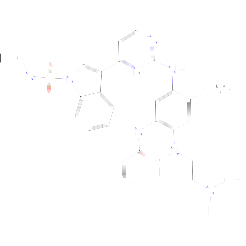 C=CC(=O)Nc1cc(Nc2nccc(-c3cn(S(=O)(=O)N(C)C)c4ccccc34)n2)c(OC)cc1N(C)CCN(C)CC